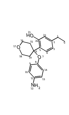 CCc1ccc(C2(Oc3ccc(N)cc3)CCOCC2)c(O)c1